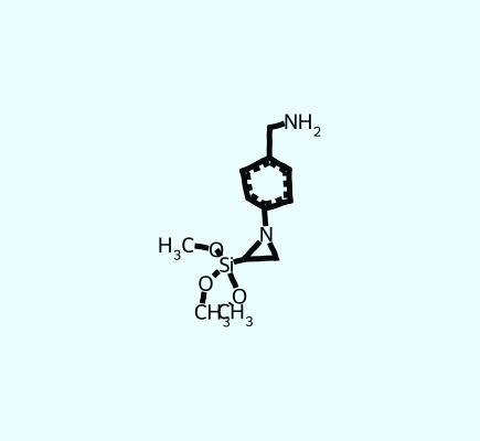 CO[Si](OC)(OC)C1CN1c1ccc(CN)cc1